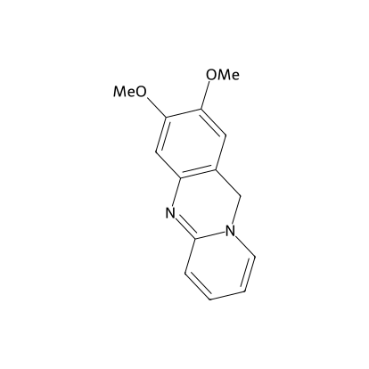 COc1cc2c(cc1OC)N=C1C=CC=CN1C2